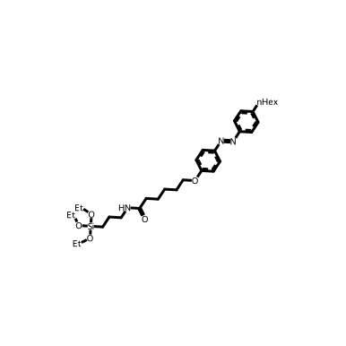 CCCCCCc1ccc(N=Nc2ccc(OCCCCCC(=O)NCCC[Si](OCC)(OCC)OCC)cc2)cc1